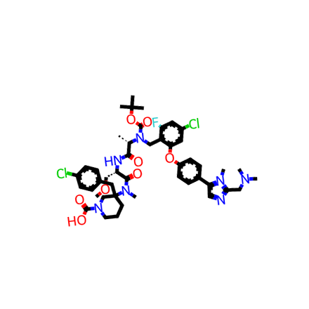 COC[C@H](NC(=O)[C@H](C)N(Cc1c(F)cc(Cl)cc1Oc1ccc(-c2cnc(CN(C)C)n2C)cc1)C(=O)OC(C)(C)C)C(=O)N(C)C1(Cc2ccc(Cl)cc2)CCCN(C(=O)O)C1